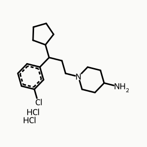 Cl.Cl.NC1CCN(CCC(c2cccc(Cl)c2)C2CCCC2)CC1